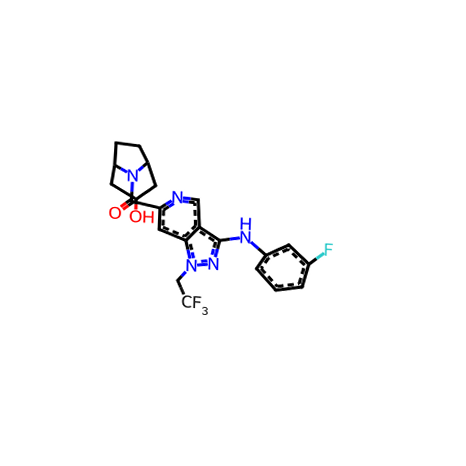 O=C(c1cc2c(cn1)c(Nc1cccc(F)c1)nn2CC(F)(F)F)N1C2CCC1CC(O)C2